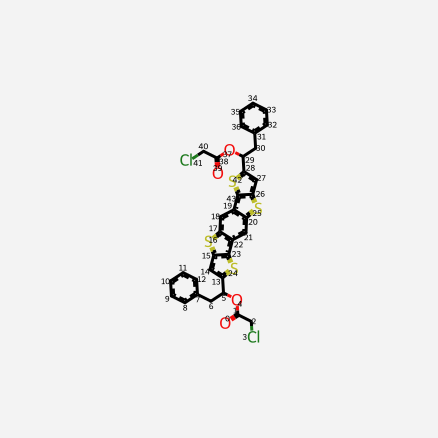 O=C(CCl)OC(Cc1ccccc1)c1cc2sc3cc4c(cc3c2s1)sc1cc(C(Cc2ccccc2)OC(=O)CCl)sc14